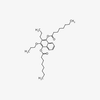 CCCCCCCC(=O)Oc1c(CCC)c(OCCC)c(OC(=O)CCCCCCC)c2ccccc12